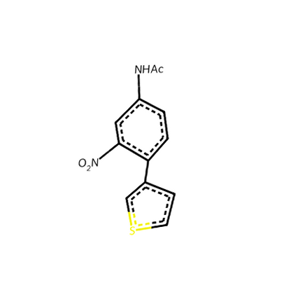 CC(=O)Nc1ccc(-c2ccsc2)c([N+](=O)[O-])c1